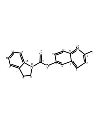 Cc1ccc2cc(OC(=O)N3CCc4ccccc43)ccc2n1